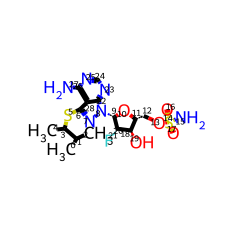 CC(C)C(C)Sc1nn([C@@H]2O[C@H](COS(N)(=O)=O)[C@@H](O)[C@@H]2F)c2ncnc(N)c12